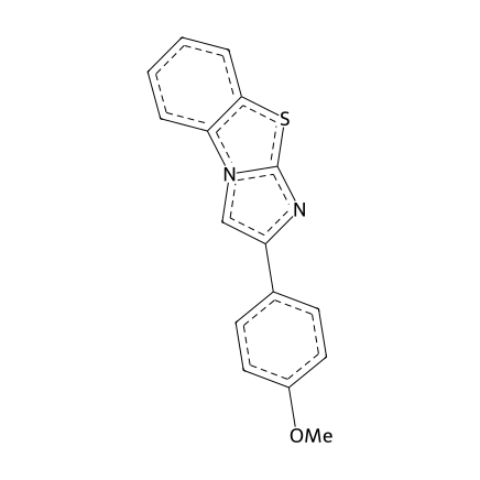 COc1ccc(-c2cn3c(n2)sc2ccccc23)cc1